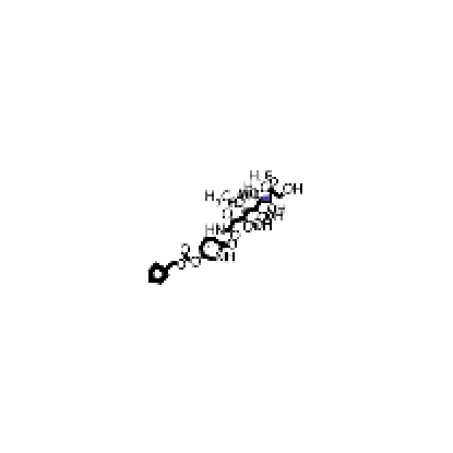 COO[C@@H](C(=O)N[C@H]1CC[C@@H](OC(=O)OCc2ccccc2)CNC1=O)[C@H](OO)[C@H](OO)[C@@H](OO)/C(O)=C(\O)C(C)(CO)OC